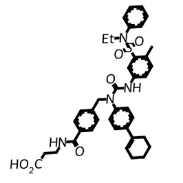 CCN(c1ccccc1)S(=O)(=O)c1cc(NC(=O)N(Cc2ccc(C(=O)NCCC(=O)O)cc2)c2ccc(C3=CCCCC3)cc2)ccc1C